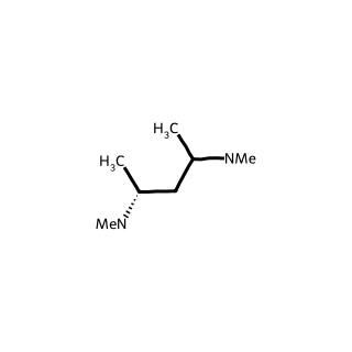 CNC(C)C[C@@H](C)NC